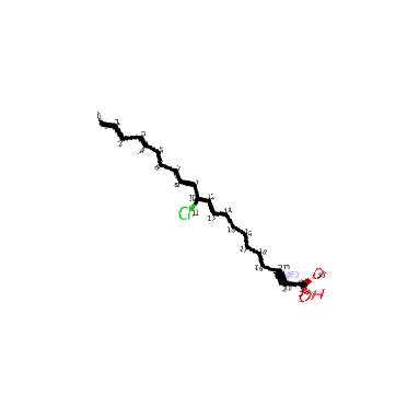 CCCCCCCCC=CC(Cl)CCCCCCCC/C=C/C(=O)O